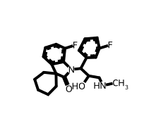 CNCC(O)C(c1cccc(F)c1)N1C(=O)C2(CCCCC2)c2cccc(F)c21